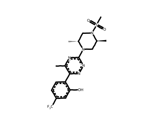 Cc1nc(N2C[C@H](C)N(S(C)(=O)=O)C[C@H]2C)nnc1-c1ccc(C(F)(F)F)cc1O